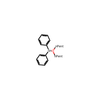 CCCCCOCCCCC.c1cc[c]([Sn][c]2ccccc2)cc1